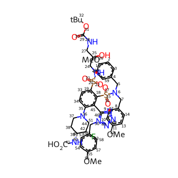 COc1ccc(CN(Cc2ccc(OC)cc2)S(=O)(=O)c2c(S(=O)(=O)NC[C@H](O)CNC(=O)OC(C)(C)C)ccc(N3CC[C@@H](NC(=O)O)[C@@H](F)C3)c2-c2nnnn2Cc2ccc(OC)cc2)cc1